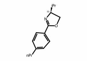 CCCc1ccc(C2=N[C@@H](C(C)C)CO2)cc1